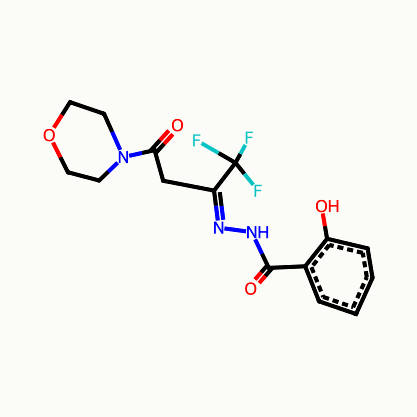 O=C(N/N=C(/CC(=O)N1CCOCC1)C(F)(F)F)c1ccccc1O